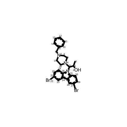 CC(O)C(N1CCN(Cc2ccccc2)CC1)n1c2ccc(Br)cc2c2cc(Br)ccc21